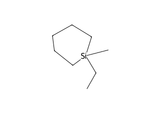 CC[Si]1(C)CCCCC1